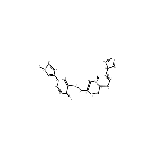 Cn1cc(-n2ccc(=O)c(COc3ccc4ncc(-n5cnnc5)cc4c3)n2)cn1